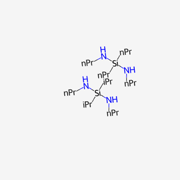 CCCN[Si](CCC)(CCC)NCCC.CCCN[Si](NCCC)(C(C)C)C(C)C